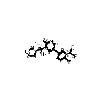 [2H]C([2H])(c1cc(-c2ccc(F)c(C(F)F)c2)cnc1C)N1CCOC1